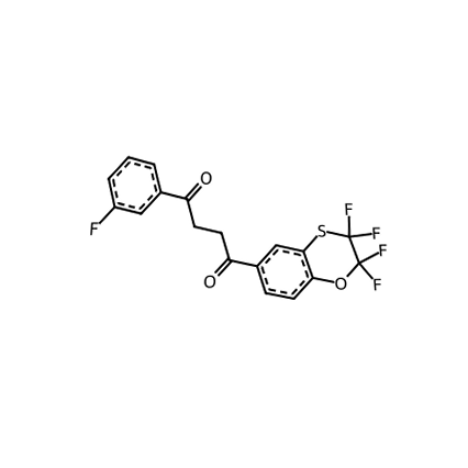 O=C(CCC(=O)c1ccc2c(c1)SC(F)(F)C(F)(F)O2)c1cccc(F)c1